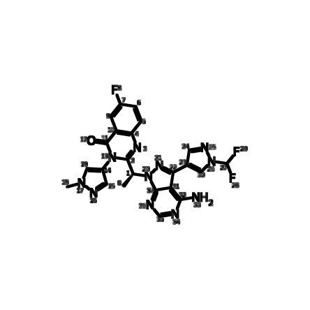 C[C@@H](c1nc2ccc(F)cc2c(=O)n1-c1cnn(C)c1)n1nc(-c2cnn(C(F)F)c2)c2c(N)ncnc21